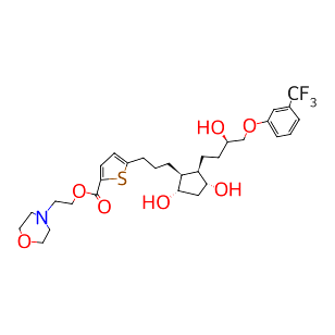 O=C(OCCN1CCOCC1)c1ccc(CCC[C@H]2[C@@H](CC[C@@H](O)COc3cccc(C(F)(F)F)c3)[C@H](O)C[C@@H]2O)s1